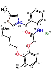 CCCCCCCCCCCCCCOc1c(OCC(=O)Nc2ccccc2C[n+]2csc(C)c2)cccc1C(C)=O.[Br-]